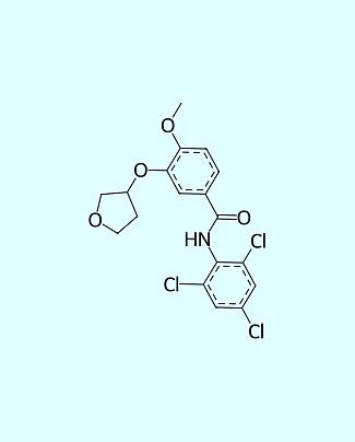 COc1ccc(C(=O)Nc2c(Cl)cc(Cl)cc2Cl)cc1OC1CCOC1